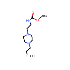 CC(C)(C)OC(=O)NCCN1CCN(CCC(=O)O)CC1